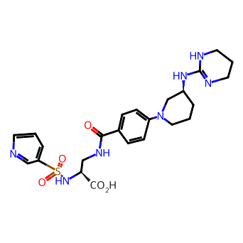 O=C(NC[C@H](NS(=O)(=O)c1cccnc1)C(=O)O)c1ccc(N2CCC[C@H](NC3=NCCCN3)C2)cc1